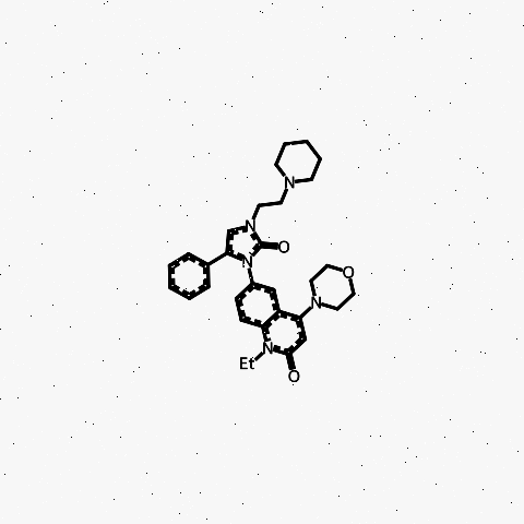 CCn1c(=O)cc(N2CCOCC2)c2cc(-n3c(-c4ccccc4)cn(CCN4CCCCC4)c3=O)ccc21